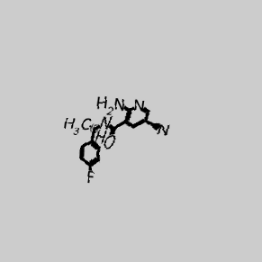 C[C@H](NC(=O)c1cc(C#N)cnc1N)c1ccc(F)cc1